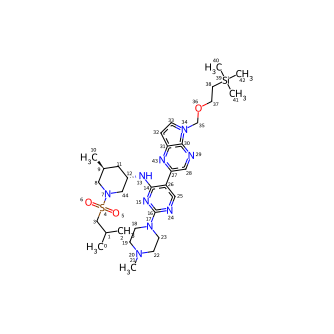 CC(C)CS(=O)(=O)N1C[C@@H](C)C[C@H](Nc2nc(N3CCN(C)CC3)ncc2-c2cnc3c(ccn3COCC[Si](C)(C)C)n2)C1